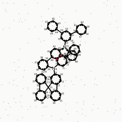 c1ccc(-c2ccc(N(c3ccc4c(c3)C3(c5ccccc5-c5ccccc53)c3ccccc3-4)c3ccccc3-c3ccc4c(c3)c3ccccc3n4-c3cc(-c4ccccc4)cc(-c4ccccc4)c3)cc2)cc1